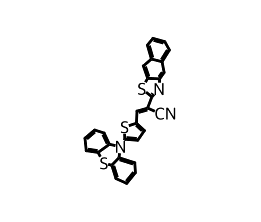 N#C/C(=C\c1ccc(N2c3ccccc3Sc3ccccc32)s1)c1nc2cc3ccccc3cc2s1